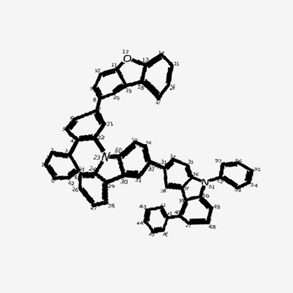 c1ccc(-c2ccc(-c3ccc4oc5ccccc5c4c3)cc2-n2c3ccccc3c3cc(-c4ccc5c(c4)c4c(-c6ccccc6)cccc4n5-c4ccccc4)ccc32)cc1